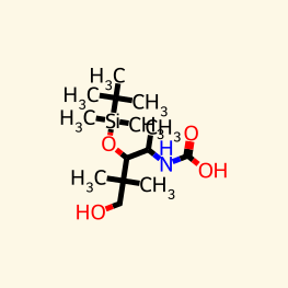 CC(NC(=O)O)C(O[Si](C)(C)C(C)(C)C)C(C)(C)CO